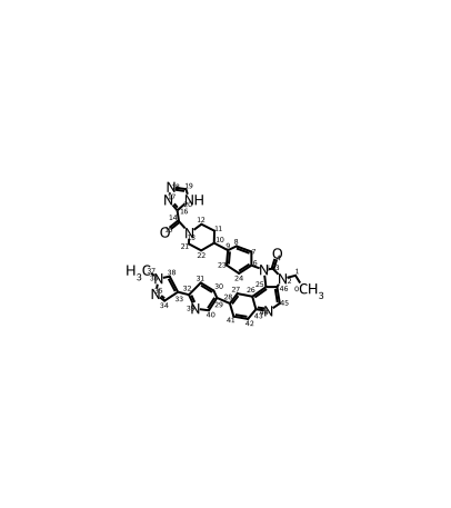 CCn1c(=O)n(-c2ccc(C3CCN(C(=O)c4nnc[nH]4)CC3)cc2)c2c3cc(-c4ccc(-c5cnn(C)c5)nc4)ccc3ncc21